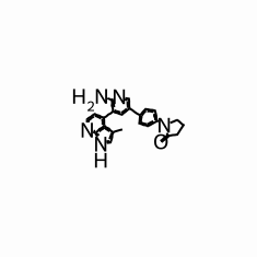 Cc1c[nH]c2nccc(-c3cc(-c4ccc(N5CCCC5=O)cc4)cnc3N)c12